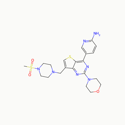 CS(=O)(=O)N1CCN(Cc2csc3c(-c4ccc(N)nc4)nc(N4CCOCC4)nc23)CC1